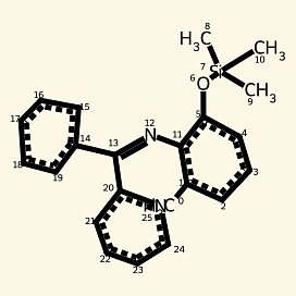 Cc1cccc(O[Si](C)(C)C)c1N=C(c1ccccc1)c1ccccn1